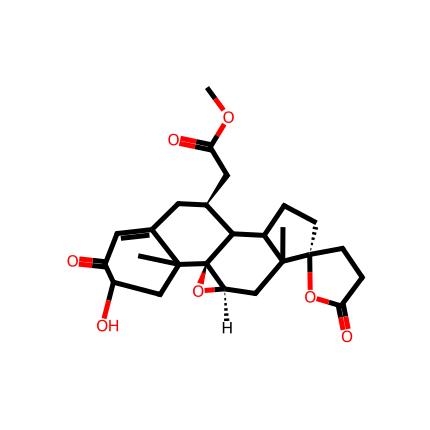 COC(=O)C[C@@H]1CC2=CC(=O)C(O)CC2(C)[C@@]23O[C@@H]2CC2(C)C(CC[C@@]24CCC(=O)O4)C13